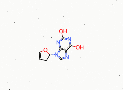 Oc1nc(O)c2ncn(C3CC=CO3)c2n1